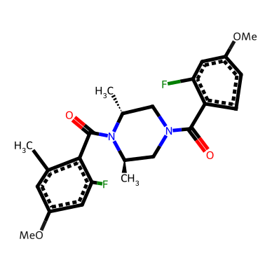 COc1ccc(C(=O)N2C[C@@H](C)N(C(=O)c3c(C)cc(OC)cc3F)[C@H](C)C2)c(F)c1